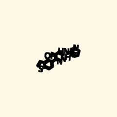 Cc1cc(N[C@H]2CN3CCC2CC3)nnc1-c1ccc2sccc2c1O